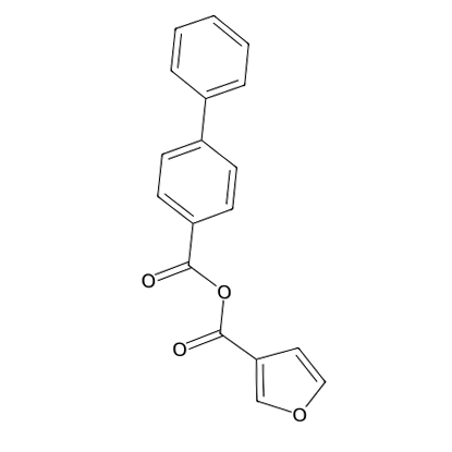 O=C(OC(=O)c1ccoc1)c1ccc(-c2ccccc2)cc1